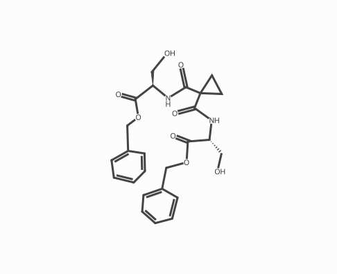 O=C(OCc1ccccc1)[C@@H](CO)NC(=O)C1(C(=O)N[C@H](CO)C(=O)OCc2ccccc2)CC1